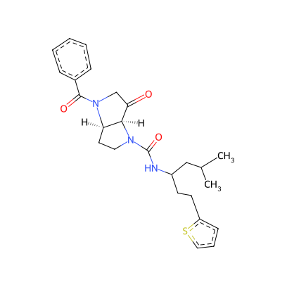 CC(C)CC(CCc1cccs1)NC(=O)N1CC[C@@H]2[C@H]1C(=O)CN2C(=O)c1ccccc1